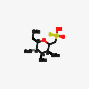 CC(=O)OC[C@H]1OC(CS(=O)(O)=S)[C@@H](OC(C)=O)[C@@H](OC(C)=O)[C@@H]1OC(C)=O